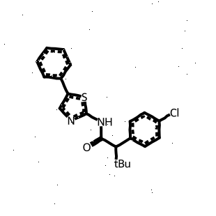 CC(C)(C)C(C(=O)Nc1ncc(-c2ccccc2)s1)c1ccc(Cl)cc1